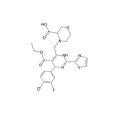 CCOC(=O)C1=C(CN2CCOCC2C(=O)O)NC(c2nccs2)=NC1c1ccc(Cl)c(F)c1